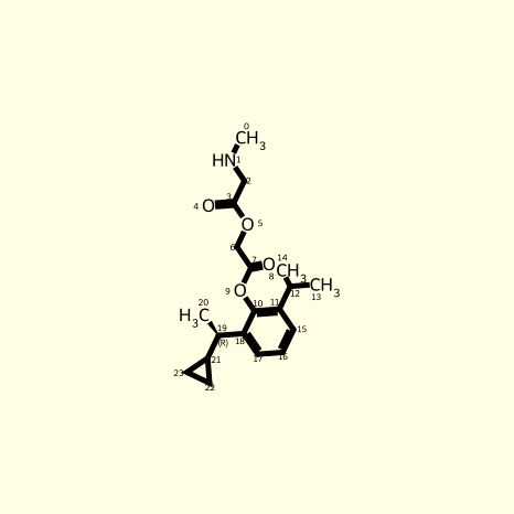 CNCC(=O)OCC(=O)Oc1c(C(C)C)cccc1[C@H](C)C1CC1